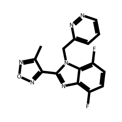 Cc1nonc1-c1nc2c(F)ccc(F)c2n1Cc1cccnn1